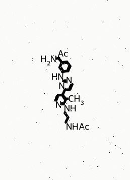 CC(=O)NCCCNc1nccc(-c2ccnc(Nc3cccc(C(N)C(C)=O)c3)n2)c1C